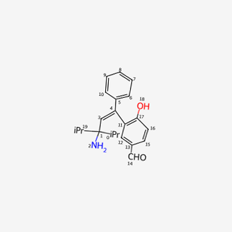 CC(C)C(N)(C=C(c1ccccc1)c1cc(C=O)ccc1O)C(C)C